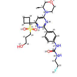 C[C@H]1COCCN1c1cc(C2(S(=O)(=O)CCCO)CCC2)nc(-c2ccc(NC(=O)NCCF)cc2)n1